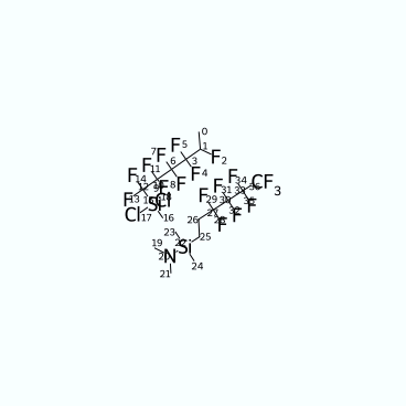 CC(F)C(F)(F)C(F)(F)C(F)(F)C(F)(F)[Si](C)(Cl)Cl.CN(C)[Si](C)(C)CCC(F)(F)C(F)(F)C(F)(F)C(F)(F)F